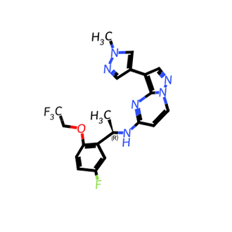 C[C@@H](Nc1ccn2ncc(-c3cnn(C)c3)c2n1)c1cc(F)ccc1OCC(F)(F)F